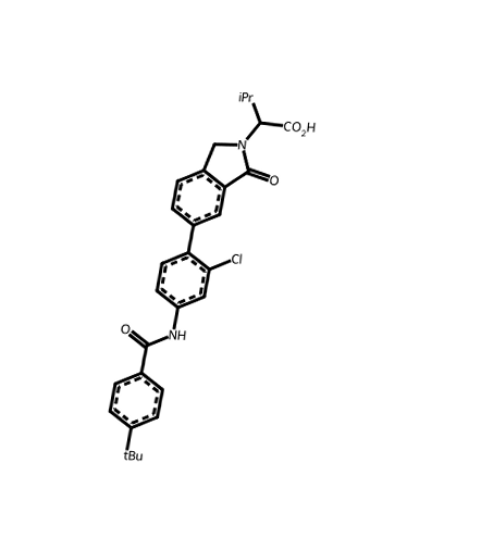 CC(C)C(C(=O)O)N1Cc2ccc(-c3ccc(NC(=O)c4ccc(C(C)(C)C)cc4)cc3Cl)cc2C1=O